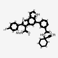 C#CC1(NC(=O)c2cccc(-c3cc4c(C(=O)NC)c(-c5ccc(F)cc5)oc4c4cc[nH]c34)c2)CCCCC1